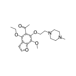 CCOc1c(C(C)=O)c(OCCN2CCN(C)CC2)c(OC)c2occc12